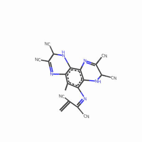 C=C(C#N)/C(C#N)=N\c1c(C)c2c(c3c1NC(C#N)C(C#N)=N3)NC(C#N)C(C#N)=N2